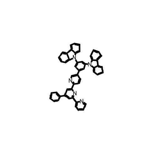 c1ccc(-c2cc(-c3ccccn3)nc(-c3ccc(-c4cc(-n5c6ccccc6c6ccccc65)cc(-n5c6ccccc6c6ccccc65)c4)cn3)c2)cc1